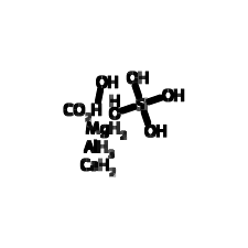 O=C(O)O.O[Si](O)(O)O.[AlH3].[CaH2].[MgH2]